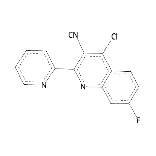 [C-]#[N+]c1c(-c2ccccn2)nc2cc(F)ccc2c1Cl